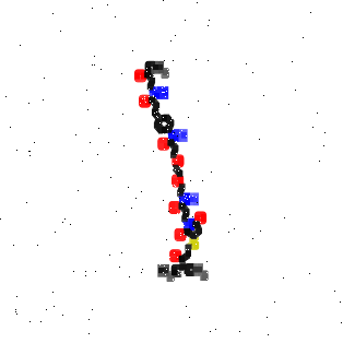 CC(=O)CCNC(=O)CCc1ccc(NC(=O)CCOCCOCCNC(=O)CCN2C(=O)CC(SCCC(=O)C(C)C)C2=O)cc1